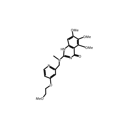 COCCOc1ccnc(CN(C)c2nc(=O)c3c(OC)c(OC)c(OC)cc3[nH]2)c1